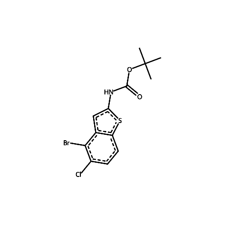 CC(C)(C)OC(=O)Nc1cc2c(Br)c(Cl)ccc2s1